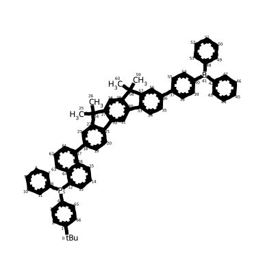 CC(C)(C)c1ccc(P(c2ccccc2)c2cccc3c(-c4ccc5c(c4)C(C)(C)c4cc6c(cc4-5)-c4ccc(-c5ccc(B(c7ccccc7)c7ccccc7)cc5)cc4C6(C)C)cccc23)cc1